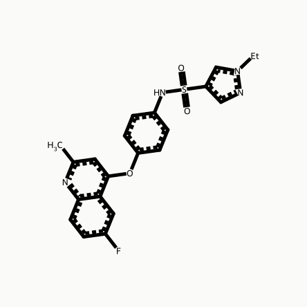 CCn1cc(S(=O)(=O)Nc2ccc(Oc3cc(C)nc4ccc(F)cc34)cc2)cn1